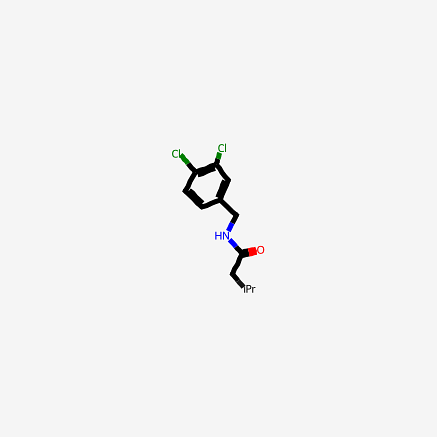 CC(C)CC(=O)NCc1ccc(Cl)c(Cl)c1